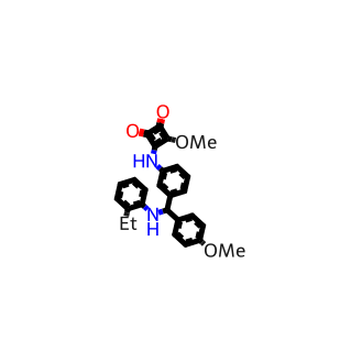 CCc1ccccc1NC(c1ccc(OC)cc1)c1cccc(Nc2c(OC)c(=O)c2=O)c1